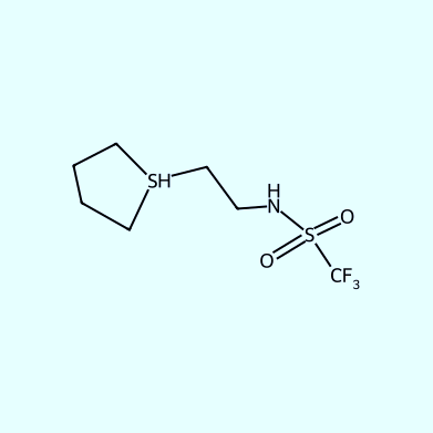 O=S(=O)(NCC[SH]1CCCC1)C(F)(F)F